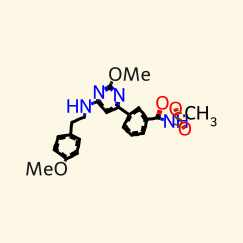 COc1ccc(CCNc2cc(-c3cccc(C(=O)NS(C)(=O)=O)c3)nc(OC)n2)cc1